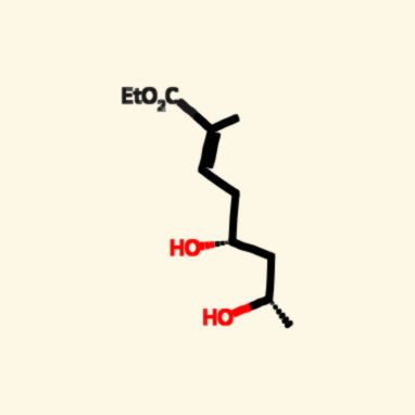 CCOC(=O)/C(C)=C/C[C@@H](O)C[C@H](C)O